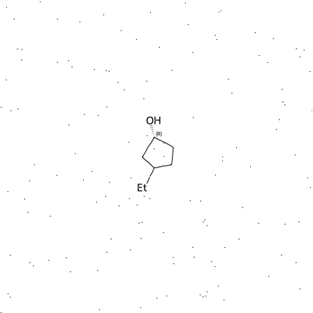 CCC1CC[C@@H](O)C1